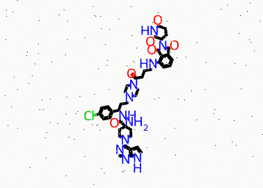 NC1(C(=O)NC(CCN2CCN(C(=O)CCCNc3cccc4c3C(=O)N(C3CCC(=O)NC3=O)C4=O)CC2)c2ccc(Cl)cc2)CCN(c2ncnc3[nH]ccc23)CC1